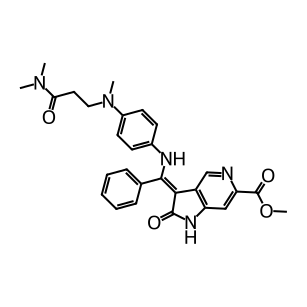 COC(=O)c1cc2c(cn1)C(=C(Nc1ccc(N(C)CCC(=O)N(C)C)cc1)c1ccccc1)C(=O)N2